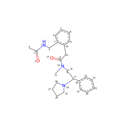 CC(=O)NCc1ccccc1CC(=O)N(C)CC(c1ccccc1)N1CCCC1